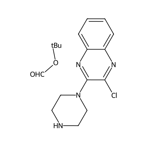 CC(C)(C)OC=O.Clc1nc2ccccc2nc1N1CCNCC1